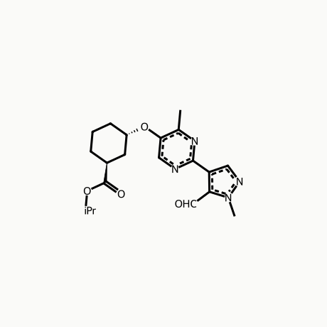 Cc1nc(-c2cnn(C)c2C=O)ncc1O[C@H]1CCC[C@H](C(=O)OC(C)C)C1